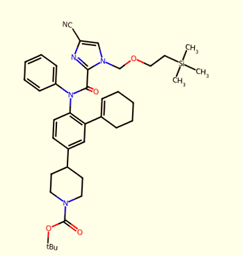 CC(C)(C)OC(=O)N1CCC(c2ccc(N(C(=O)c3nc(C#N)cn3COCC[Si](C)(C)C)c3ccccc3)c(C3=CCCCC3)c2)CC1